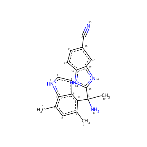 Cc1cc(C)c2[nH]ccc2c1C(C)(N)c1nc2cc(C#N)ccc2[nH]1